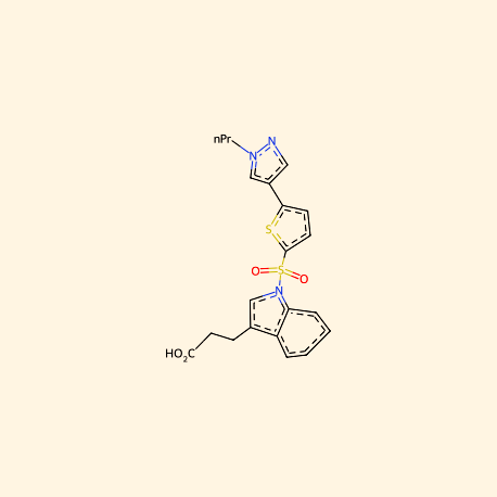 CCCn1cc(-c2ccc(S(=O)(=O)n3cc(CCC(=O)O)c4ccccc43)s2)cn1